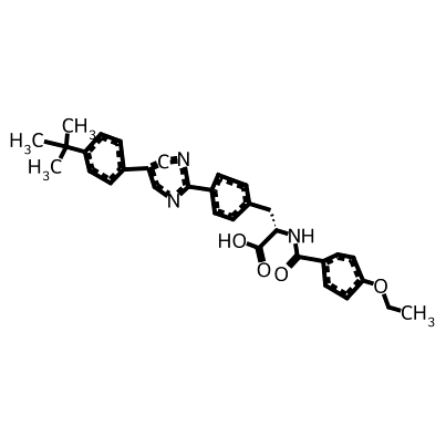 CCOc1ccc(C(=O)N[C@@H](Cc2ccc(-c3ncc(-c4ccc(C(C)(C)C)cc4)cn3)cc2)C(=O)O)cc1